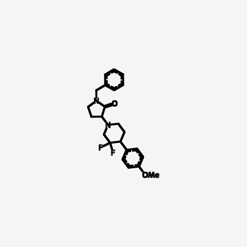 COc1ccc(C2CCN(C3CCN(Cc4ccccc4)C3=O)CC2(F)F)cc1